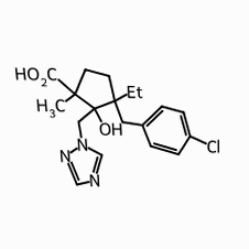 CCC1(Cc2ccc(Cl)cc2)CCC(C)(C(=O)O)C1(O)Cn1cncn1